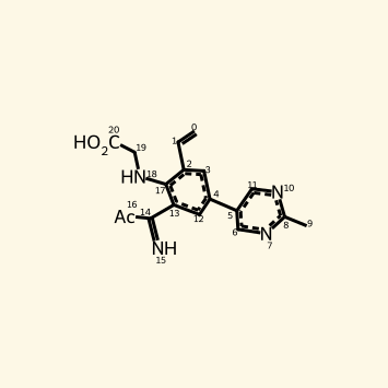 C=Cc1cc(-c2cnc(C)nc2)cc(C(=N)C(C)=O)c1NCC(=O)O